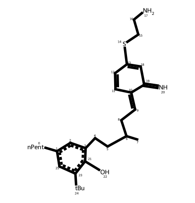 CCCCCc1cc(CCC(C)C/C=C2\C=CC(SCCN)=CC2=N)c(O)c(C(C)(C)C)c1